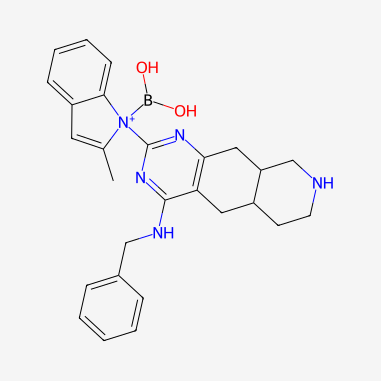 CC1=Cc2ccccc2[N+]1(B(O)O)c1nc2c(c(NCc3ccccc3)n1)CC1CCNCC1C2